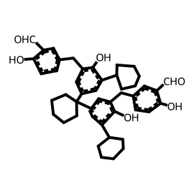 O=Cc1cc(Cc2cc(C3(c4cc(Cc5ccc(O)c(C=O)c5)c(O)c(C5CCCCC5)c4)CCCCC3)cc(C3CCCCC3)c2O)ccc1O